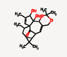 CC1=CC23C(=O)C(C=C4COC(C)(C)OC4C2(O)C1O)C1C(CC3C)C1(C)C